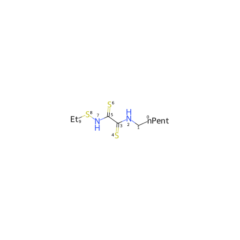 CCCCCCNC(=S)C(=S)NSCC